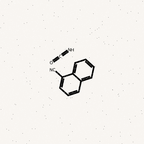 N#Cc1cccc2ccccc12.N=C=O